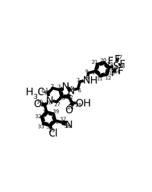 C[C@@H]1Cc2nn(CCNCc3ccc(S(F)(F)(F)(F)F)cc3)c(C(=O)O)c2CN1C(=O)c1ccc(Cl)c(C#N)c1